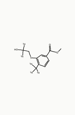 [2H]C([2H])(O)CSc1cc(C(=O)OC)ccc1C([2H])([2H])[2H]